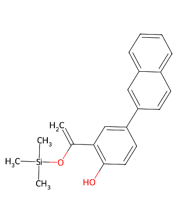 C=C(O[Si](C)(C)C)c1cc(-c2ccc3ccccc3c2)ccc1O